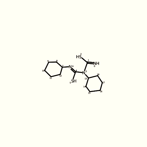 N=C(S)N(C(S)=NC1CCCCC1)C1CCCCC1